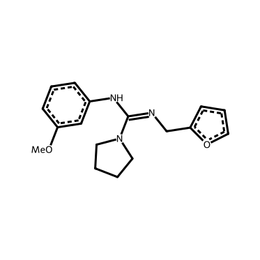 COc1cccc(NC(=NCc2ccco2)N2CCCC2)c1